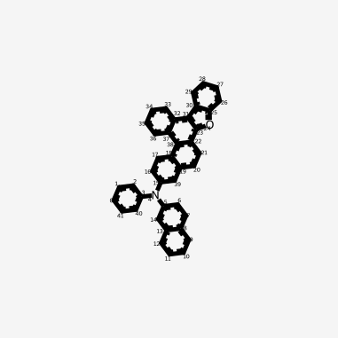 c1ccc(N(c2ccc3ccccc3c2)c2ccc3c(ccc4c5oc6ccccc6c5c5ccccc5c34)c2)cc1